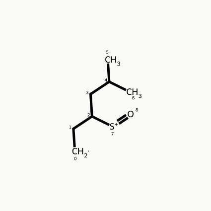 [CH2]CC(CC(C)C)[S+]=O